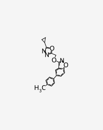 Cc1ccc(-c2ccc3onc(OCc4nnc(C5CC5)o4)c3c2)cc1